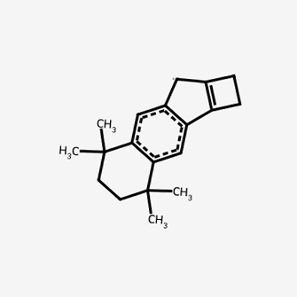 CC1(C)CCC(C)(C)c2cc3c(cc21)[CH]C1=C3CC1